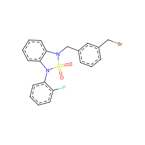 O=S1(=O)N(Cc2cccc(CBr)c2)c2ccccc2N1c1ccccc1F